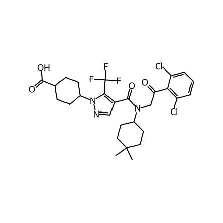 CC1(C)CCC(N(CC(=O)c2c(Cl)cccc2Cl)C(=O)c2cnn(C3CCC(C(=O)O)CC3)c2C(F)(F)F)CC1